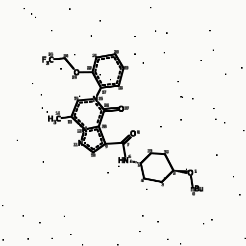 CCCCO[C@H]1CC[C@H](NC(=O)c2cnn3c(C)cn(-c4ccccc4OCC(F)(F)F)c(=O)c23)CC1